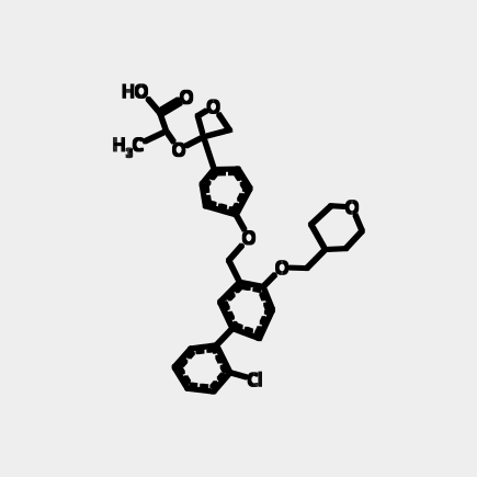 CC(OC1(c2ccc(OCc3cc(-c4ccccc4Cl)ccc3OCC3CCOCC3)cc2)COC1)C(=O)O